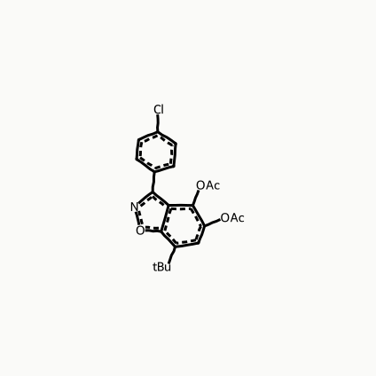 CC(=O)Oc1cc(C(C)(C)C)c2onc(-c3ccc(Cl)cc3)c2c1OC(C)=O